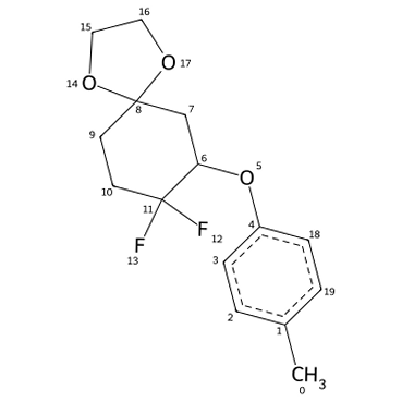 Cc1ccc(OC2CC3(CCC2(F)F)OCCO3)cc1